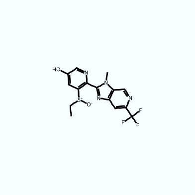 CC[S+]([O-])c1cc(O)cnc1-c1nc2cc(C(F)(F)F)ncc2n1C